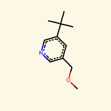 COCc1cncc(C(C)(C)C)c1